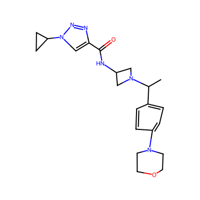 CC(c1ccc(N2CCOCC2)cc1)N1CC(NC(=O)c2cn(C3CC3)nn2)C1